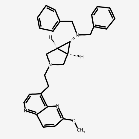 COc1ccc2nccc(CCN3C[C@@H]4[C@H](C3)[C@H]4N(Cc3ccccc3)Cc3ccccc3)c2n1